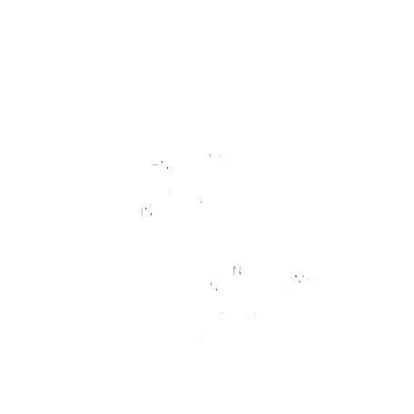 CCOC(=O)C(Cc1ccccc1)NC(=O)Nc1cccc(-n2nc(OC)oc2=O)c1